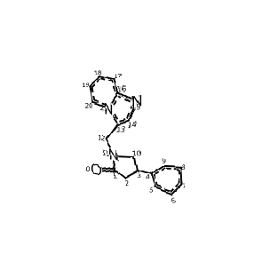 O=C1CC(c2ccccc2)CN1Cc1cnc2ccccn12